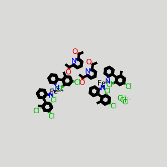 CC(=O)c1cccc(C(C)=O)n1.CC(=O)c1cccc(C(C)=O)n1.Cc1cc(Cl)cc(Cl)c1-c1ccccc1[N]=[Fe+3]=[N]c1ccccc1-c1c(C)cc(Cl)cc1Cl.Cc1cc(Cl)cc(Cl)c1-c1ccccc1[N]=[Fe-]=[N]c1ccccc1-c1c(C)cc(Cl)cc1Cl.[Cl-].[Cl-].[Cl-].[Cl-]